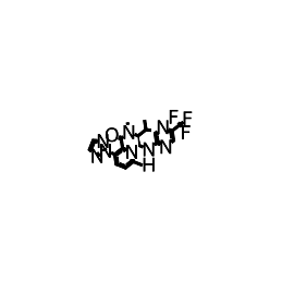 Cc1ccc(-n2nccn2)c(C(=O)N(C)[C@H](CNc2cnc(C(F)(F)F)cn2)C(C)C)n1